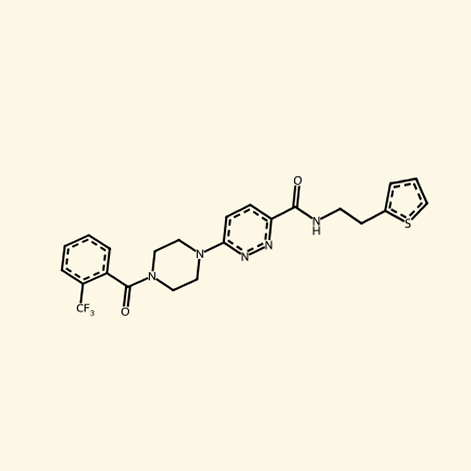 O=C(NCCc1cccs1)c1ccc(N2CCN(C(=O)c3ccccc3C(F)(F)F)CC2)nn1